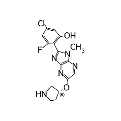 Cn1c(-c2c(O)cc(Cl)cc2F)nc2nc(O[C@@H]3CCNC3)cnc21